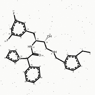 CCc1cccc(CNC[C@@H](O)[C@H](Cc2cc(F)cc(F)c2)NC(=O)C(c2ccccc2)n2cccc2)c1